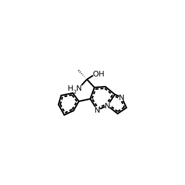 C[C@](N)(O)c1cc2nccn2nc1-c1ccccc1